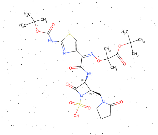 CC(C)(C)OC(=O)Nc1nc(C(=NOC(C)(C)C(=O)OC(C)(C)C)C(=O)N[C@@H]2C(=O)N(S(=O)(=O)O)[C@@H]2CN2CCCC2=O)cs1